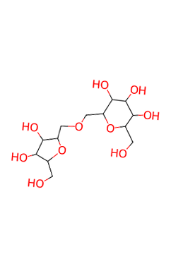 OCC1OC(COCC2OC(CO)C(O)C(O)C2O)C(O)C1O